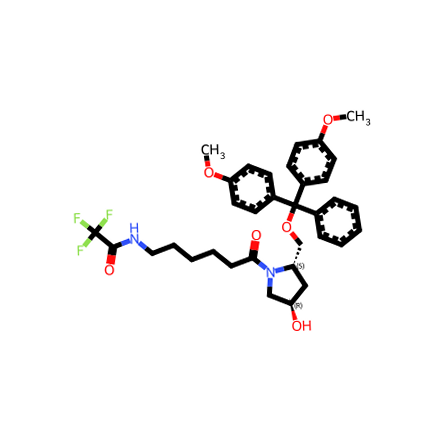 COc1ccc(C(OC[C@@H]2C[C@@H](O)CN2C(=O)CCCCCNC(=O)C(F)(F)F)(c2ccccc2)c2ccc(OC)cc2)cc1